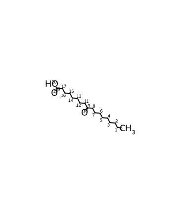 CCCCCCCCCC(=O)CCCCCCCC(=O)O